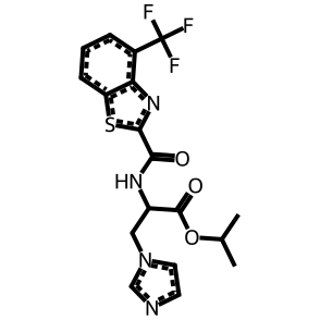 CC(C)OC(=O)C(Cn1ccnc1)NC(=O)c1nc2c(C(F)(F)F)cccc2s1